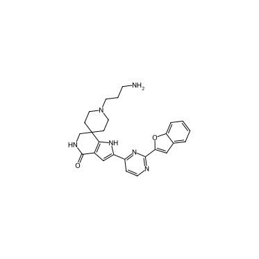 NCCCN1CCC2(CC1)CNC(=O)c1cc(-c3ccnc(-c4cc5ccccc5o4)n3)[nH]c12